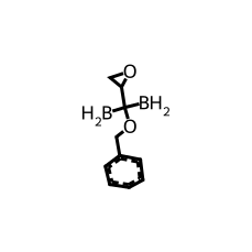 BC(B)(OCc1ccccc1)C1CO1